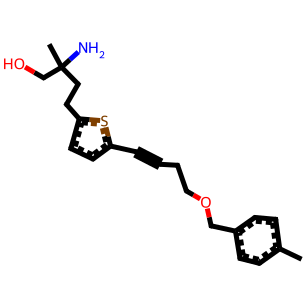 Cc1ccc(COCCC#Cc2ccc(CCC(C)(N)CO)s2)cc1